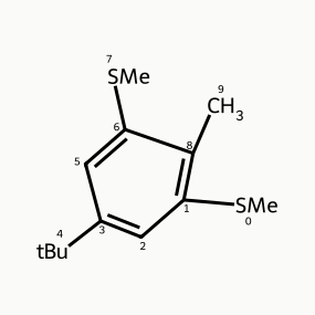 CSc1cc(C(C)(C)C)cc(SC)c1C